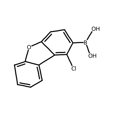 OB(O)c1ccc2oc3ccccc3c2c1Cl